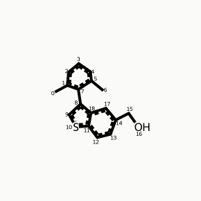 Cc1cccc(C)c1-c1csc2ccc(CO)cc12